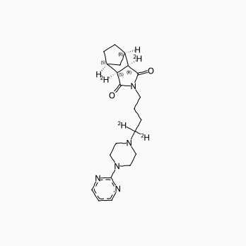 [2H]C([2H])(CCCN1C(=O)[C@@]2([2H])[C@H]3CC[C@H](C3)[C@@]2([2H])C1=O)N1CCN(c2ncccn2)CC1